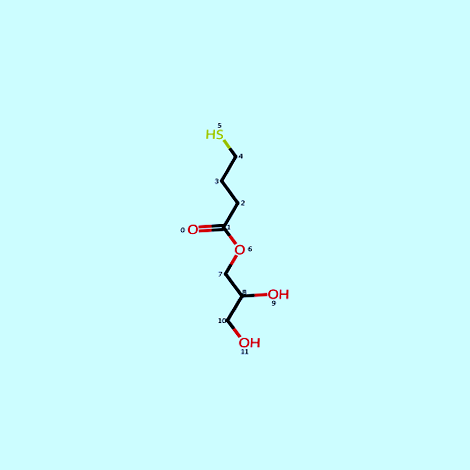 O=C(CCCS)OCC(O)CO